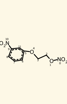 O=[N+]([O-])OCCOc1cccc([N+](=O)[O-])c1